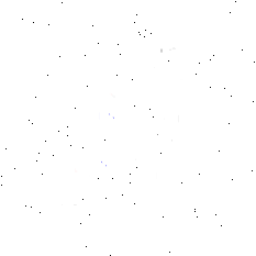 CCCCCCCCCCC(CCCCCCCC)COC(=O)NC1CC(C)(C)CC(C)(CNC(=O)OCCC)C1